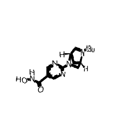 CC(C)(C)N1C[C@@H]2C[C@H]1CN2c1ncc(C(=O)NO)cn1